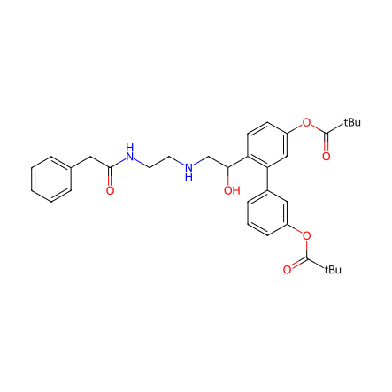 CC(C)(C)C(=O)Oc1cccc(-c2cc(OC(=O)C(C)(C)C)ccc2C(O)CNCCNC(=O)Cc2ccccc2)c1